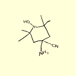 CC1(C)CC(N)(C#N)CC(C)(C)N1O